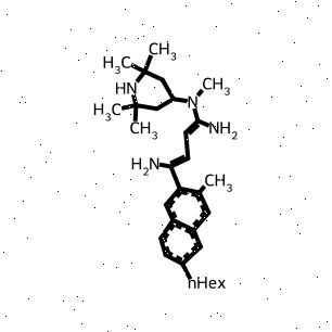 CCCCCCc1ccc2cc(/C(N)=C/C=C(\N)N(C)C3CC(C)(C)NC(C)(C)C3)c(C)cc2c1